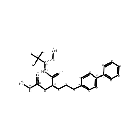 CC(C)(C)[C@H](CO)NC(=O)C(CCCc1ccc(-c2ccccc2)cc1)CC(=O)NO